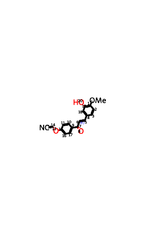 COc1ccc(/C=C/C(=O)c2ccc(OCC#N)cc2)cc1O